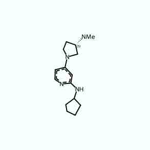 CN[C@H]1CCN(c2ccnc(NC3CCCC3)c2)C1